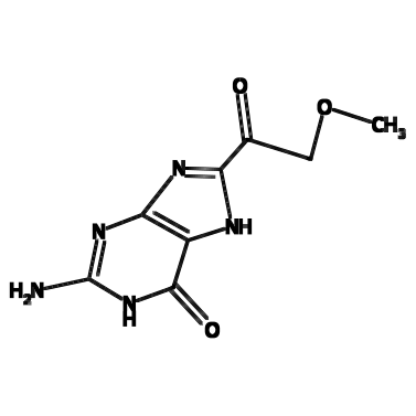 COCC(=O)c1nc2nc(N)[nH]c(=O)c2[nH]1